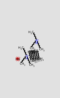 CCCCCCCC.CCCCCCCC.CCCCCCCC.CCCCCCCC.CCCCCCCCC.CCCCCCCCC.CCCCCCCC[NH+](CCCCCCCC)CCCCCCCC.CCCCCCCC[NH+](CCCCCCCC)CCCCCCCC.[O]=[Mo](=[O])([O-])[O-]